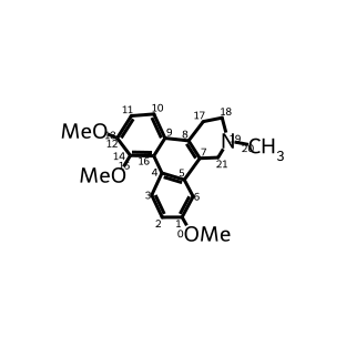 COc1ccc2c(c1)c1c(c3ccc(OC)c(OC)c32)CCN(C)C1